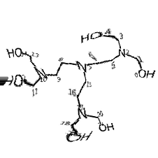 OCN(CO)CCN(CCN(CO)CO)CCN(CO)CO